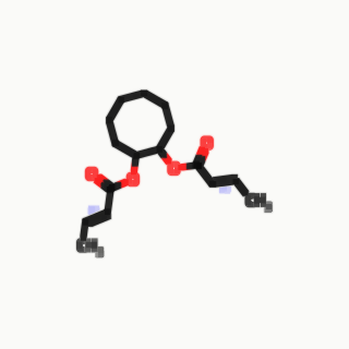 C/C=C/C(=O)OC1CCCCCCC1OC(=O)/C=C/C